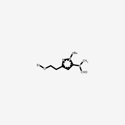 CCCCn1nc(CCOCC)cc1N(C)C=O